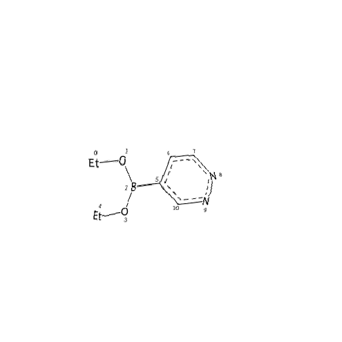 CCOB(OCC)c1ccnnc1